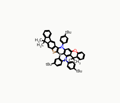 CC(C)(C)c1ccc(N2c3ccc(C(C)(C)C)cc3B3c4sc5cc6c(cc5c4N(c4ccc(C(C)(C)C)cc4)c4cc5c(c2c43)C(C)(C)c2ccccc2O5)-c2ccccc2C6(C)C)cc1